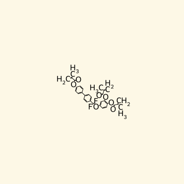 C=C(C)C(=O)Oc1ccc(-c2ccc(C(F)(F)Oc3ccc(OC(=O)C(=C)C)c(OC(=O)C(=C)C)c3)cc2)cc1